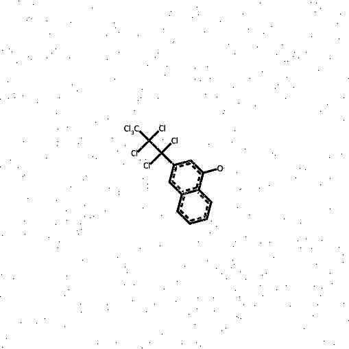 [O]c1cc(C(Cl)(Cl)C(Cl)(Cl)C(Cl)(Cl)Cl)cc2ccccc12